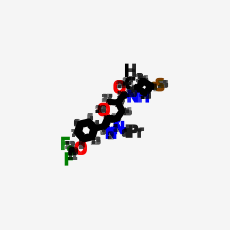 CC(C)n1nc(-c2cccc(OC(F)F)c2)c2c1CC(C(=O)NC1(C)CC(=S)C1)CO2